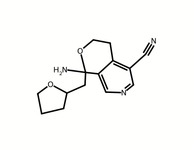 N#Cc1cncc2c1CCOC2(N)CC1CCCO1